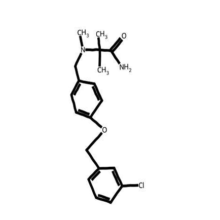 CN(Cc1ccc(OCc2cccc(Cl)c2)cc1)C(C)(C)C(N)=O